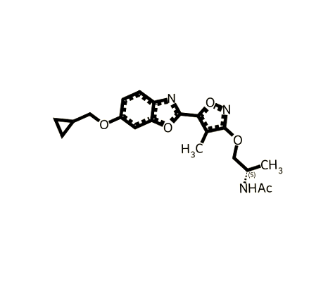 CC(=O)N[C@@H](C)COc1noc(-c2nc3ccc(OCC4CC4)cc3o2)c1C